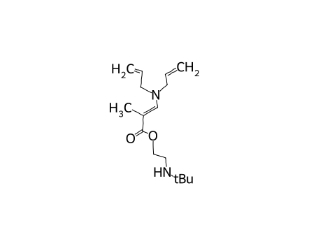 C=CCN(C=C(C)C(=O)OCCNC(C)(C)C)CC=C